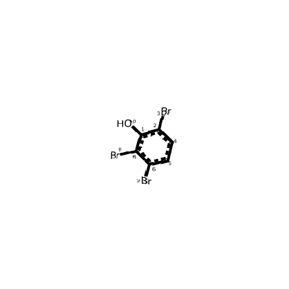 Oc1c(Br)ccc(Br)c1Br